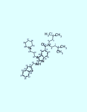 CC(C)CCN(CCC(C)C)C(=O)c1ccc2nc(NCc3cc4ccccc4s3)n(CCCN3CCCCC3)c2c1